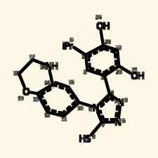 CC(C)c1cc(-c2nnc(S)n2-c2ccc3c(c2)NCCO3)c(O)cc1O